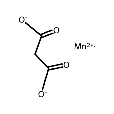 O=C([O-])CC(=O)[O-].[Mn+2]